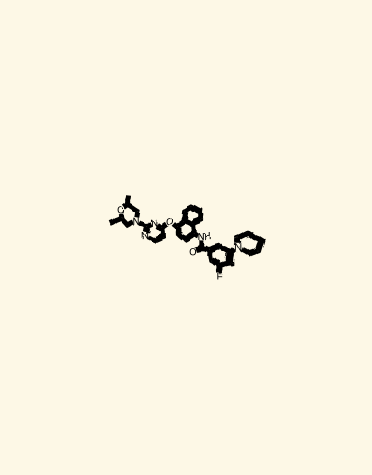 CC1CN(c2nccc(Oc3ccc(NC(=O)c4cc(F)cc(N5CCCCC5)c4)c4ccccc34)n2)CC(C)O1